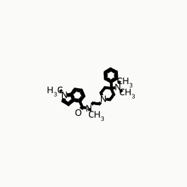 CN(CCN1CCC(c2ccccc2)(N(C)C)CC1)C(=O)c1cccc2c1ccn2C